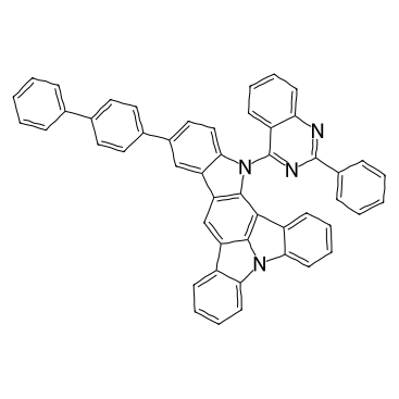 c1ccc(-c2ccc(-c3ccc4c(c3)c3cc5c6ccccc6n6c7ccccc7c(c3n4-c3nc(-c4ccccc4)nc4ccccc34)c56)cc2)cc1